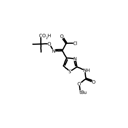 CC(C)(C)OC(=O)Nc1nc(C(=NOC(C)(C)C(=O)O)C(=O)Cl)cs1